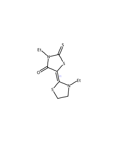 CCN1C(=O)/C(=C2\SCCN2CC)SC1=S